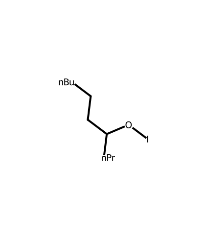 CCCCCCC(CCC)OI